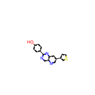 Oc1ccc(-c2ncc3ncc(-c4ccsc4)cc3n2)cc1